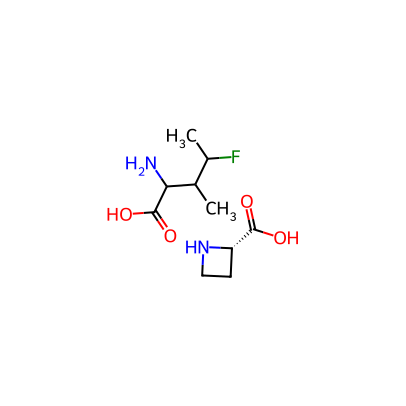 CC(F)C(C)C(N)C(=O)O.O=C(O)[C@@H]1CCN1